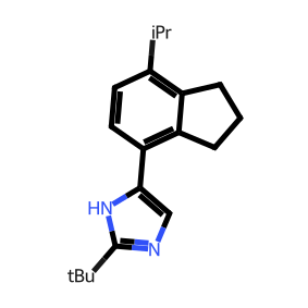 CC(C)c1ccc(-c2cnc(C(C)(C)C)[nH]2)c2c1CCC2